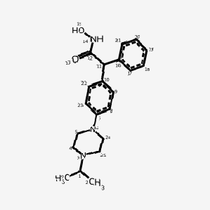 CC(C)N1CCN(c2ccc(C(C(=O)NO)c3ccccc3)cc2)CC1